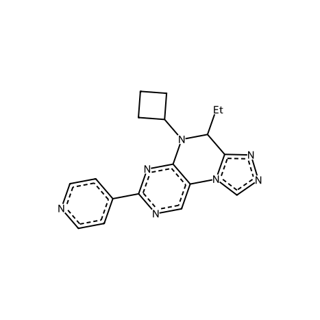 CCC1c2nncn2-c2cnc(-c3ccncc3)nc2N1C1CCC1